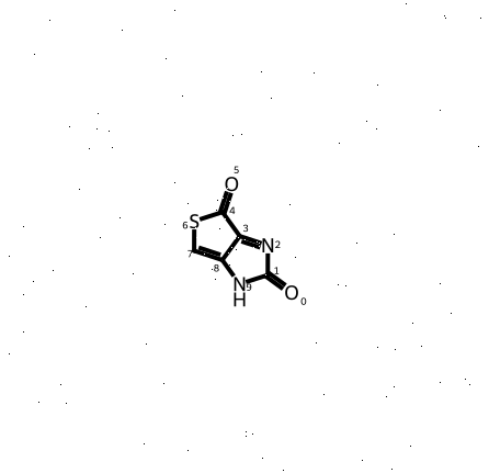 O=C1N=C2C(=O)SC=C2N1